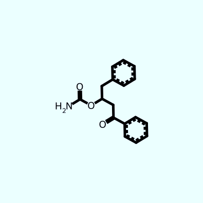 NC(=O)OC(CC(=O)c1ccccc1)Cc1ccccc1